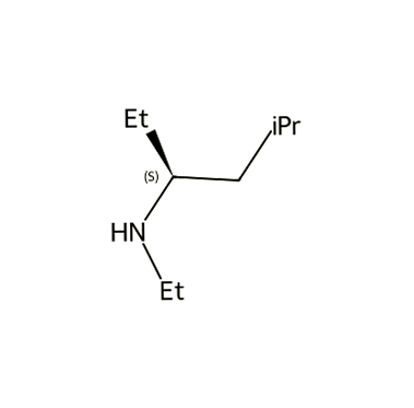 CCN[C@@H](CC)CC(C)C